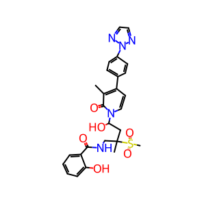 Cc1c(-c2ccc(-n3nccn3)cc2)ccn(C(O)CC(C)(CNC(=O)c2ccccc2O)S(C)(=O)=O)c1=O